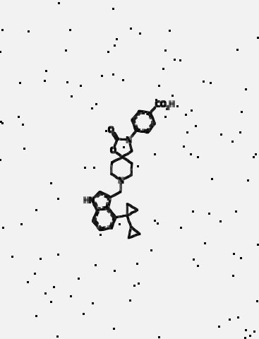 O=C(O)c1ccc(N2CC3(CCN(Cc4c[nH]c5cccc(C6(C7CC7)CC6)c45)CC3)OC2=O)cc1